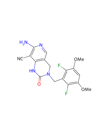 COc1cc(OC)c(F)c(CN2Cc3cnc(N)c(C#N)c3NC2=O)c1F